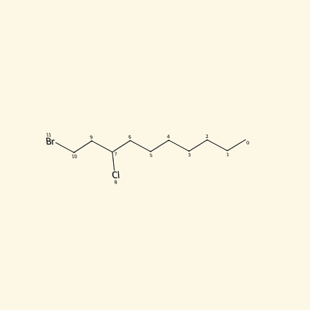 CCCCCCCC(Cl)CCBr